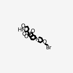 O=C1CCC(N2C(=O)c3ccc(N4CCC(OCCBr)CC4)cc3C2=O)C(=O)N1